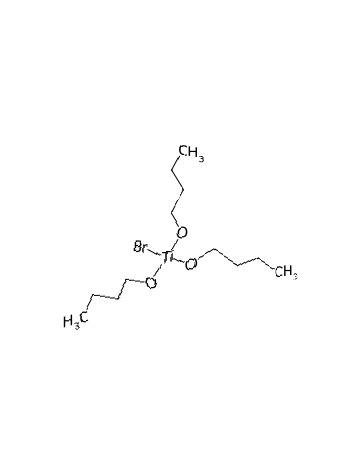 CCCC[O][Ti]([Br])([O]CCCC)[O]CCCC